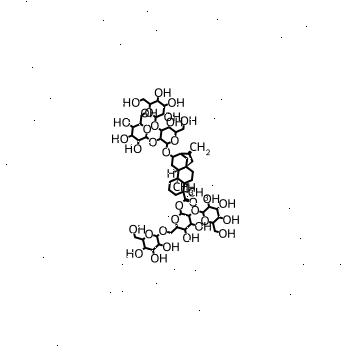 C=C1C[C@@]23CC[C@H]4[C@@](C)(CCC[C@@]4(C)C(=O)OC4OC(COC5OC(CO)C(O)C(O)C5O)C(O)C(O)C4OC4OC(CO)C(O)C(O)C4O)[C@@H]2CC(OC2OC(CO)C(O)C(OC4OC(CO)C(O)C(O)C4O)C2OC2OC(CO)C(O)C(O)C2O)C1C3